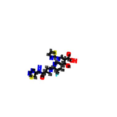 O=C(O)c1cn(-c2nccs2)c2nc(N3CC(C(=O)Nc4csnn4)C3)c(F)cc2c1=O